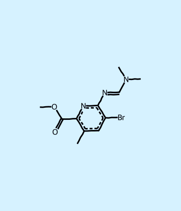 COC(=O)c1nc(N=CN(C)C)c(Br)cc1C